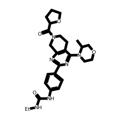 CCNC(=O)Nc1ccc(-c2nc3c(c(N4CCOCC4C)n2)CCN(C(=O)C2CCCO2)C3)cc1